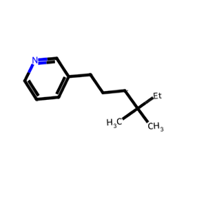 CCC(C)(C)[CH]CCc1cccnc1